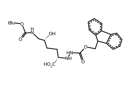 CC(C)(C)OC(=O)NC[C@H](O)CC[C@H](NNC(=O)OCC1c2ccccc2-c2ccccc21)C(=O)O